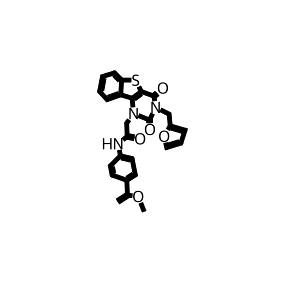 C=C(OC)c1ccc(NC(=O)Cn2c(=O)n(Cc3ccco3)c(=O)c3sc4ccccc4c32)cc1